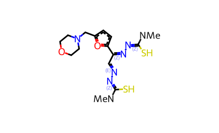 CN/C(S)=N/N=C(/C=N/N=C(\S)NC)c1ccc(CN2CCOCC2)o1